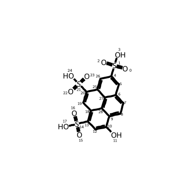 O=S(=O)(O)c1cc2ccc3c(O)cc(S(=O)(=O)O)c4cc(S(=O)(=O)O)c(c1)c2c34